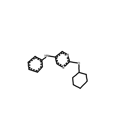 c1ccc(Nc2cnc(OC3CCCCC3)nc2)cc1